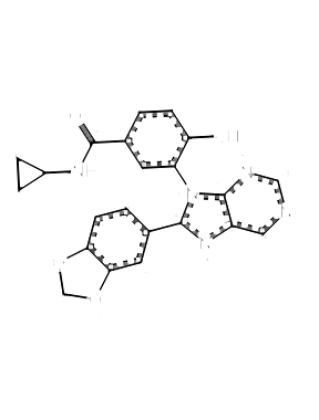 Cc1ccc(C(=O)NC2CC2)cc1-n1c(-c2ccc3c(c2)OCO3)nc2cncnc21